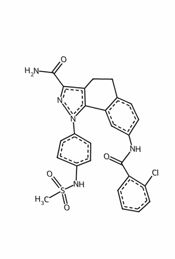 CS(=O)(=O)Nc1ccc(-n2nc(C(N)=O)c3c2-c2cc(NC(=O)c4ccccc4Cl)ccc2CC3)cc1